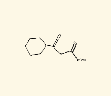 CCCCCC(=O)CC(=O)C1CCCCC1